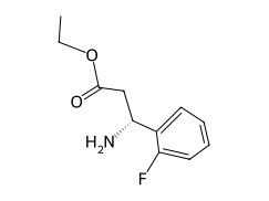 CCOC(=O)C[C@@H](N)c1ccccc1F